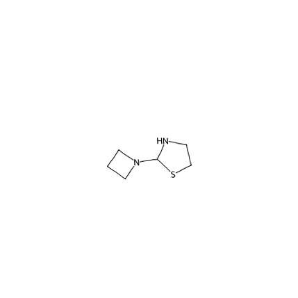 C1CN(C2NCCS2)C1